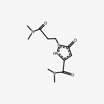 CN(C)C(=O)CCn1[nH]c(C(=O)N(C)C)cc1=O